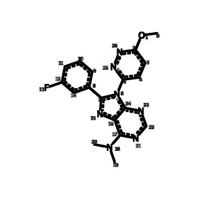 COc1ccc(-n2c(-c3cccc(F)c3)nc3c(N(C)C)ncnc32)nn1